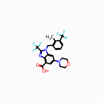 Cc1c(Cn2c(C(F)(F)F)nc3c(C(=O)O)cc(N4CCOCC4)cc32)cccc1C(F)(F)F